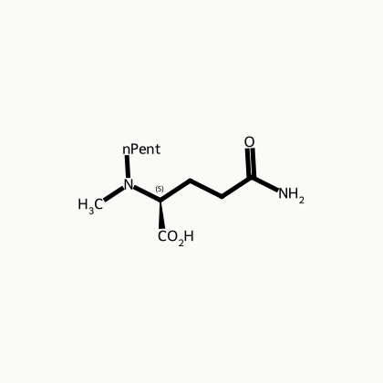 CCCCCN(C)[C@@H](CCC(N)=O)C(=O)O